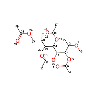 COC(C)C(OC(C)=O)C(OC(C)=O)C(OC(C)=O)C(C)[C@@H](F)COC(C)=O